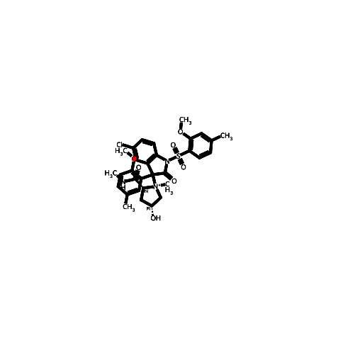 CNC(=O)[C@@H]1C[C@@H](O)C[N+]1(C)C1(c2cc(C)ccc2OC)C(=O)N(S(=O)(=O)c2ccc(C)cc2OC)c2ccc(Cl)cc21